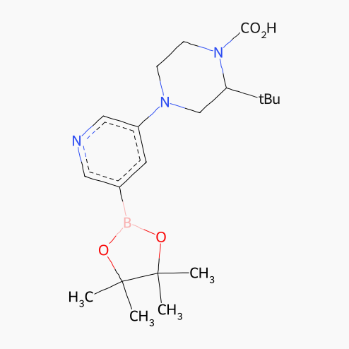 CC(C)(C)C1CN(c2cncc(B3OC(C)(C)C(C)(C)O3)c2)CCN1C(=O)O